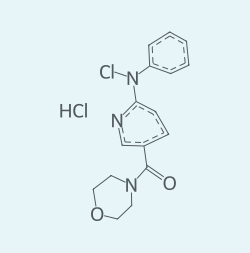 Cl.O=C(c1ccc(N(Cl)c2ccccc2)nc1)N1CCOCC1